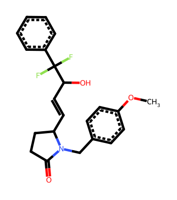 COc1ccc(CN2C(=O)CCC2/C=C/C(O)C(F)(F)c2ccccc2)cc1